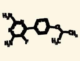 CC(C)Oc1ccc(-c2nc(N)nc(N)c2F)cc1